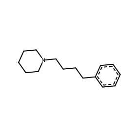 [CH]1CCN(CCCCc2ccccc2)CC1